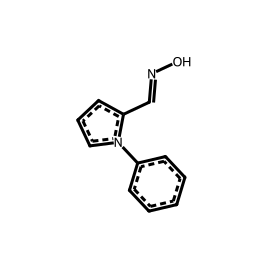 ON=Cc1cccn1-c1ccccc1